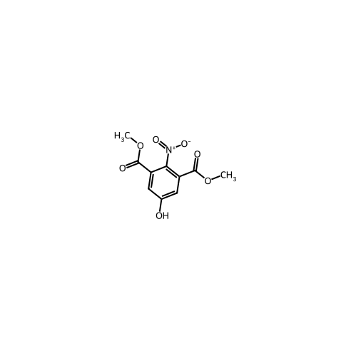 COC(=O)c1cc(O)cc(C(=O)OC)c1[N+](=O)[O-]